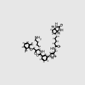 NCCCC[C@H](NC(=O)c1cccc(-n2cc(CNC(=O)CCCC[C@@H]3SC[C@@H]4NC(=O)N[C@@H]43)nn2)c1)C(=O)COc1c(F)cccc1F